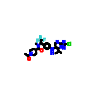 CC(=O)N1CCC(C(=O)N(C)[C@@H](c2ccc(Nc3cnc4nc(Cl)nn4c3C(C)C)cc2)C(F)(F)F)CC1